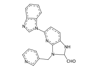 O=CC1Nc2ccc(-n3cnc4ccccc43)nc2N1Cc1cccnc1